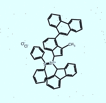 CC1=C[CH]([Zr+2]([CH]2c3ccccc3-c3ccccc32)=[Si](c2ccccc2)c2ccccc2)c2cccc(-c3cc4ccccc4c4ccccc34)c21.[Cl-].[Cl-]